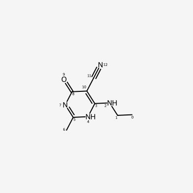 CCNc1[nH]c(C)nc(=O)c1C#N